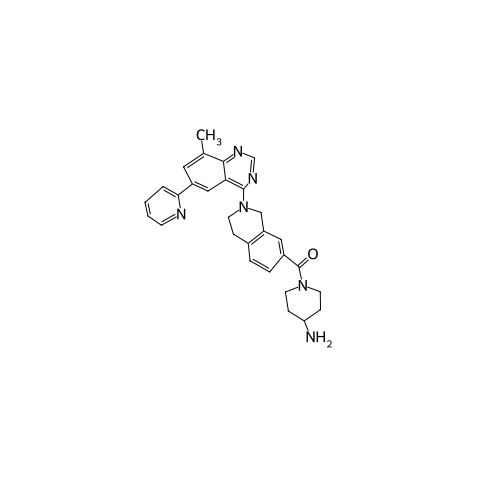 Cc1cc(-c2ccccn2)cc2c(N3CCc4ccc(C(=O)N5CCC(N)CC5)cc4C3)ncnc12